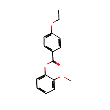 CCOc1ccc(C(=O)Oc2ccccc2OC)cc1